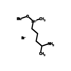 CCC(C)[O][Sn+]([CH3])[CH2]CCC(C)N.[Br-]